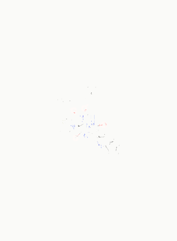 C[Si](C)(C)CCOCN(COCC[Si](C)(C)C)c1c(N2CCSCC2)c(=O)nc2n1NC(=O)C2c1cnc2ccccc2c1